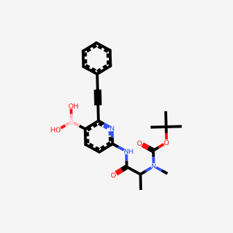 CC(C(=O)Nc1ccc(B(O)O)c(C#Cc2ccccc2)n1)N(C)C(=O)OC(C)(C)C